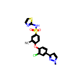 Cn1ccc(-c2ccc(Oc3ccc(S(=O)(=O)Nc4nccs4)cc3C#N)c(Cl)c2)n1